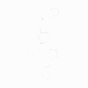 CC(C)(C)NS(=O)(=O)c1cc(NC(=O)OC2COC2)ccc1-c1cnc(C2CCCCC2)s1